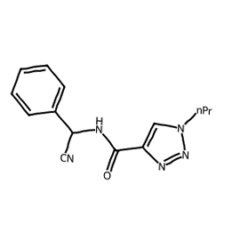 CCCn1cc(C(=O)NC(C#N)c2ccccc2)nn1